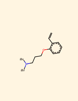 C=Cc1ccccc1OCCCN(C(C)CC)C(C)CC